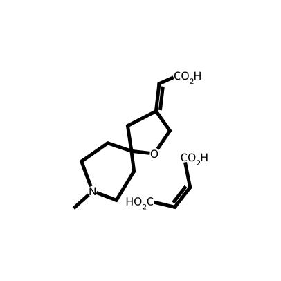 CN1CCC2(CC1)C/C(=C/C(=O)O)CO2.O=C(O)/C=C\C(=O)O